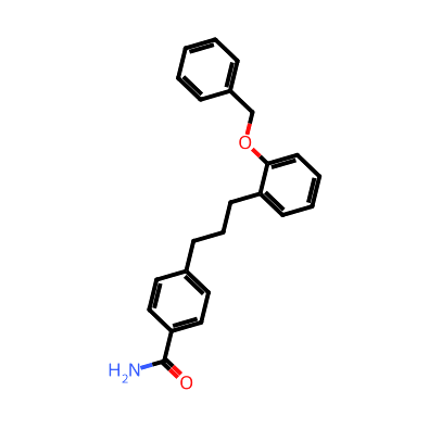 NC(=O)c1ccc(CCCc2ccccc2OCc2ccccc2)cc1